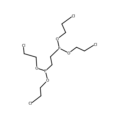 ClCCOP(CCP(OCCCl)OCCCl)OCCCl